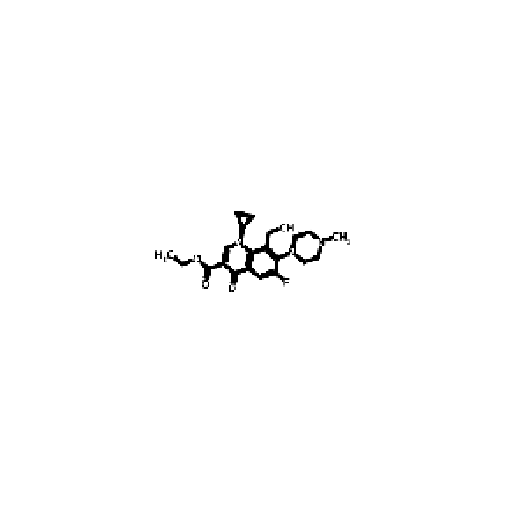 CCOC(=O)c1cn(C2CC2)c2c(CC)c(N3CCN(C)CC3)c(F)cc2c1=O